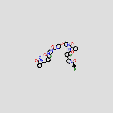 O=C(N[C@@H](C(=O)N1CCC(OC2CCN(CC(=O)N3CCN(C(=O)c4cc(Cc5n[nH]c(=O)c6ccccc56)ccc4F)CC3)CC2)CC1)C1CCCCC1)c1cccc(C2CCCN(C(=O)C34CC(F)(C3)C4)C2)c1F